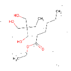 CCC(CO)(CO)CO.CCCCCC(=O)OCC